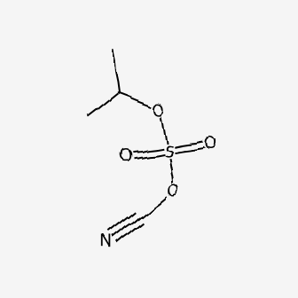 CC(C)OS(=O)(=O)OC#N